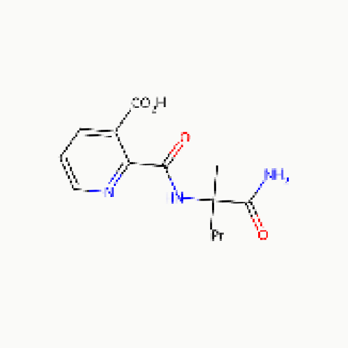 CC(C)C(C)(NC(=O)c1ncccc1C(=O)O)C(N)=O